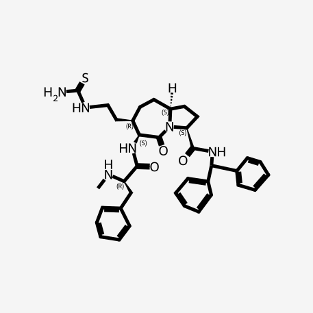 CN[C@H](Cc1ccccc1)C(=O)N[C@@H]1C(=O)N2[C@@H](CC[C@@H]1CCNC(N)=S)CC[C@H]2C(=O)NC(c1ccccc1)c1ccccc1